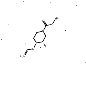 C=CO[C@H]1CCN(C(=O)OC(C)(C)C)C[C@@H]1F